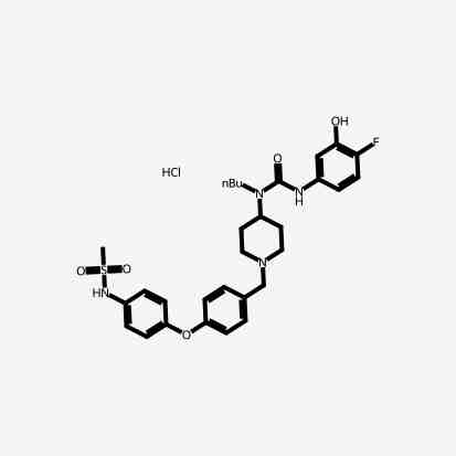 CCCCN(C(=O)Nc1ccc(F)c(O)c1)C1CCN(Cc2ccc(Oc3ccc(NS(C)(=O)=O)cc3)cc2)CC1.Cl